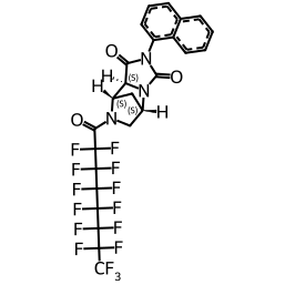 O=C1[C@@H]2[C@@H]3C[C@@H](CN3C(=O)C(F)(F)C(F)(F)C(F)(F)C(F)(F)C(F)(F)C(F)(F)C(F)(F)F)N2C(=O)N1c1cccc2ccccc12